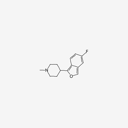 CN1CCC(c2occ3cc(F)ccc23)CC1